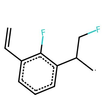 [CH2]C(CF)c1cccc(C=C)c1F